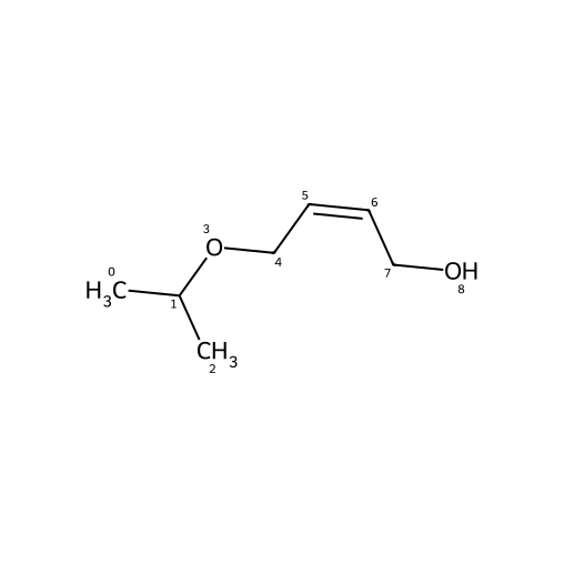 CC(C)OC/C=C\CO